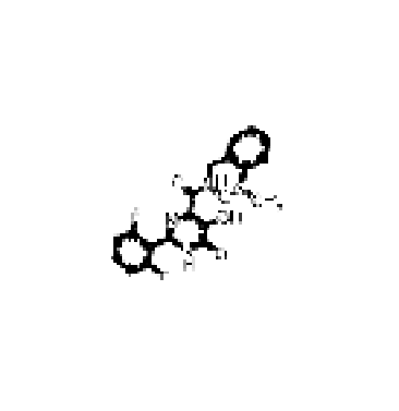 CSc1ccccc1CN(C)C(=O)c1nc(-c2c(F)cccc2F)[nH]c(=O)c1O